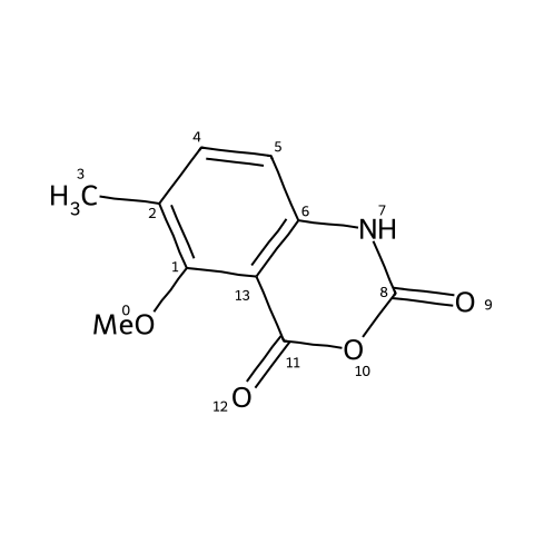 COc1c(C)ccc2[nH]c(=O)oc(=O)c12